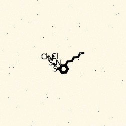 CCCCCCc1cccc2sc(SN(Cl)Cl)nc12